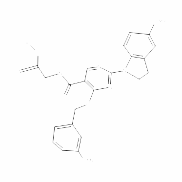 COc1cccc(COc2nc(N3CCc4cc(OC)ccc43)ncc2C(=O)NCC(=O)OC(C)(C)C)c1